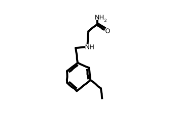 CCc1cccc(CNCC(N)=O)c1